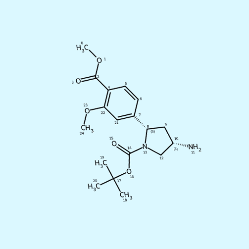 COC(=O)c1ccc([C@@H]2C[C@H](N)CN2C(=O)OC(C)(C)C)cc1OC